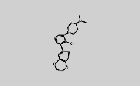 CN(C)C1CCN(c2cccc(-c3ccc4c(c3)OCCO4)c2C#N)CC1